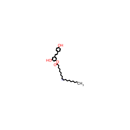 CCCCCCCC/C=C\CCCCCCCC(=O)Oc1cc(O)cc(C=Cc2ccc(O)cc2)c1